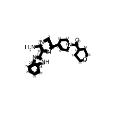 Nc1ncc(C2=CCN(C(=O)C3CCOCC3)CC2)nc1-c1nc2ccccc2[nH]1